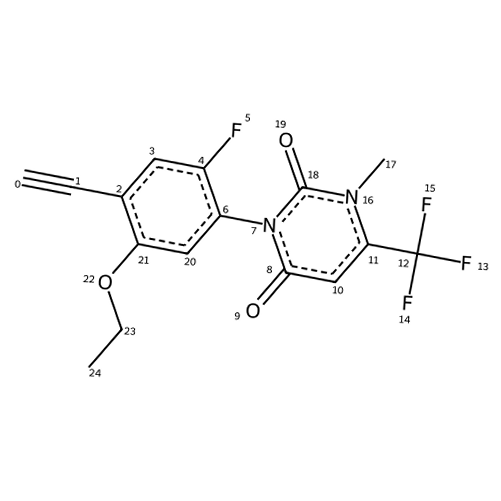 C#Cc1cc(F)c(-n2c(=O)cc(C(F)(F)F)n(C)c2=O)cc1OCC